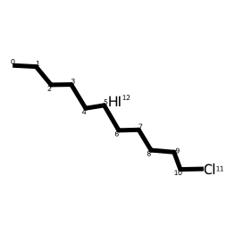 CCCCCCCCCCCCl.I